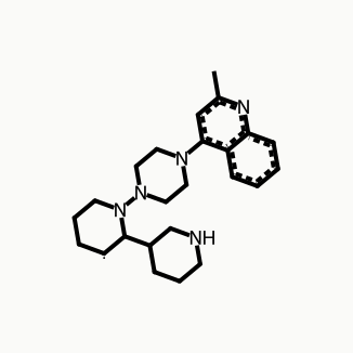 Cc1cc(N2CCN(N3CCC[CH]C3C3CCCNC3)CC2)c2ccccc2n1